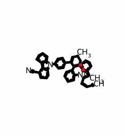 C#C/C=C\c1c(C)c2ccccc2n1-c1ccccc1C1=C(C#N)CC(C)C=C1c1ccc(-n2c3ccccc3c3c(C#N)cccc32)cc1